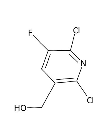 OCc1cc(F)c(Cl)nc1Cl